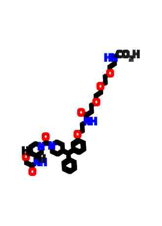 O=C(O)NCCOCCOCCOCCC(=O)NCCOc1cccc(C(c2ccccc2)C2CCN(C(=O)N3CC[C@@H]4OCC(=O)N[C@@H]4C3)CC2)c1